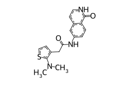 CN(C)c1sccc1CC(=O)Nc1ccc2c(=O)[nH]ccc2c1